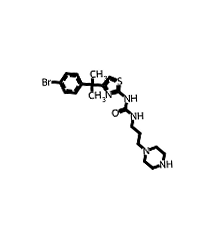 CC(C)(c1ccc(Br)cc1)c1csc(NC(=O)NCCCN2CCNCC2)n1